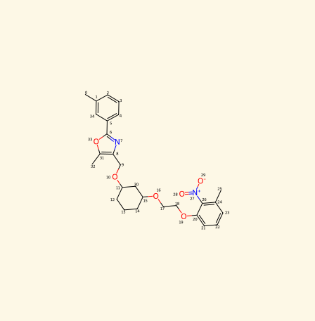 Cc1cccc(-c2nc(COC3CCCC(OCCOc4cccc(C)c4[N+](=O)[O-])C3)c(C)o2)c1